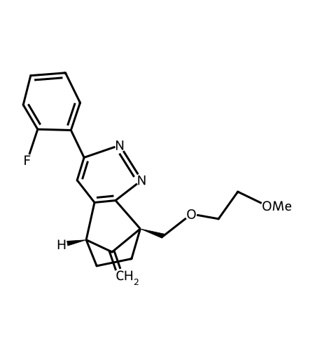 C=C1[C@@H]2CC[C@@]1(COCCOC)c1nnc(-c3ccccc3F)cc12